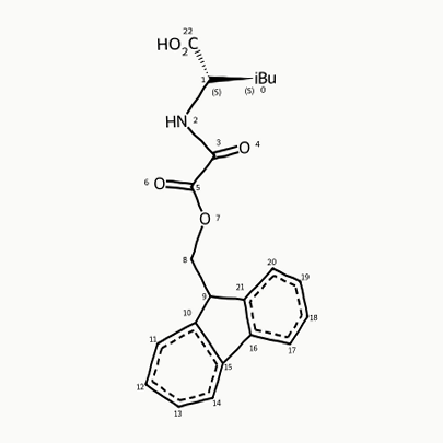 CC[C@H](C)[C@H](NC(=O)C(=O)OCC1c2ccccc2-c2ccccc21)C(=O)O